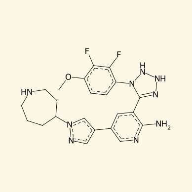 COc1ccc(N2NNN=C2c2cc(-c3cnn(C4CCCNCC4)c3)cnc2N)c(F)c1F